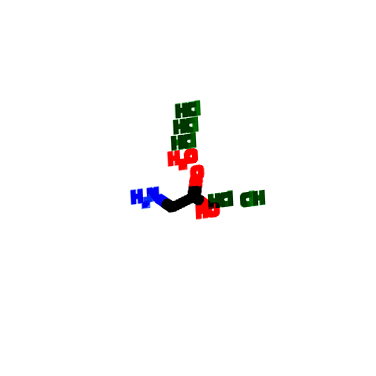 Cl.Cl.Cl.Cl.Cl.NCC(=O)O.O